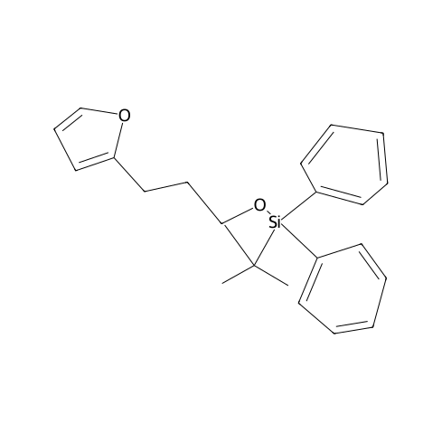 CC(C)(C)[Si](OCCCc1ccco1)(c1ccccc1)c1ccccc1